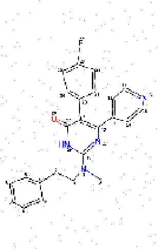 CN(CCc1ccccc1)c1nc(-c2ccncc2)c(-c2ccc(F)cc2)c(=O)[nH]1